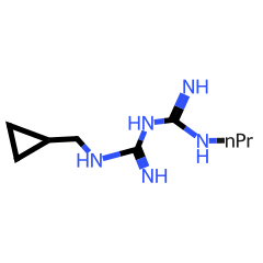 CCCNC(=N)NC(=N)NCC1CC1